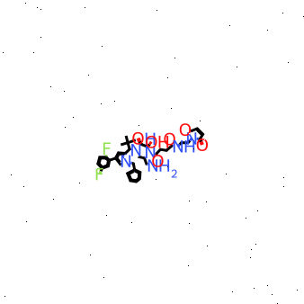 CC(C)(C)[C@H](c1cc(-c2cc(F)ccc2F)cn1Cc1ccccc1)N(CC(CN)NC(=O)CCC(=O)NCCN1C(=O)C=CC1=O)C(=O)CO